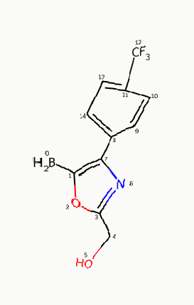 Bc1oc(CO)nc1-c1ccc(C(F)(F)F)cc1